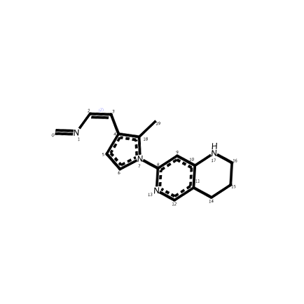 C=N/C=C\c1ccn(-c2cc3c(cn2)CCCN3)c1C